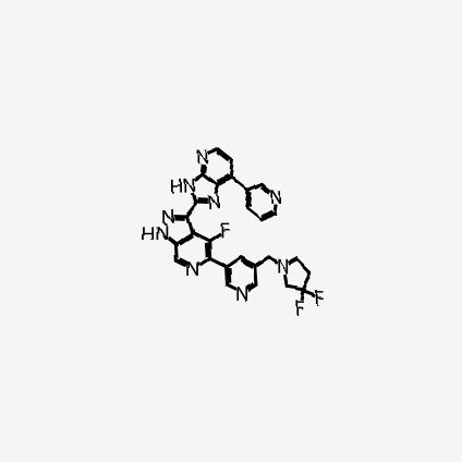 Fc1c(-c2cncc(CN3CCC(F)(F)C3)c2)ncc2[nH]nc(-c3nc4c(-c5cccnc5)ccnc4[nH]3)c12